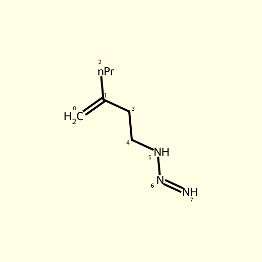 C=C(CCC)CCNN=N